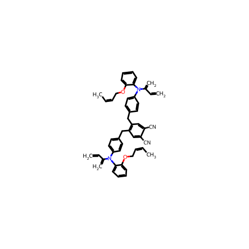 C=CC(=C)N(c1ccc(Cc2cc(C#N)c(C#N)cc2Cc2ccc(N(C(=C)C=C)c3ccccc3OC/C=C\C)cc2)cc1)c1ccccc1OC/C=C\C